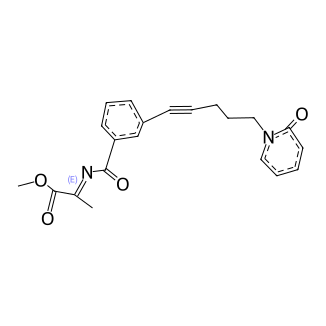 COC(=O)/C(C)=N/C(=O)c1cccc(C#CCCCn2ccccc2=O)c1